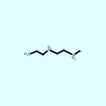 C[SiH2]CC[SiH2]CC[SiH3]